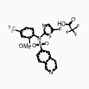 COc1cc(C(F)(F)F)ccc1N(c1ncc(F)s1)S(=O)(=O)c1ccc2cnccc2c1.O=C(O)C(F)(F)F